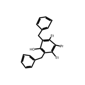 CCc1c(Cc2ccccc2)c(O)c(Cc2ccccc2)c(CC)c1C(C)C